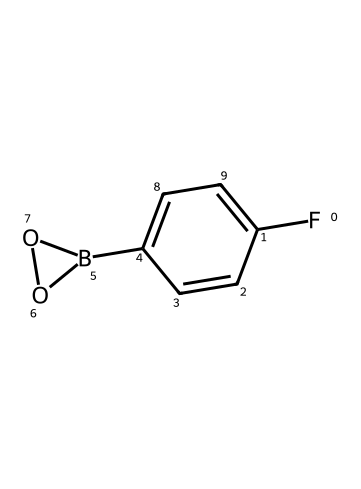 Fc1ccc(B2OO2)cc1